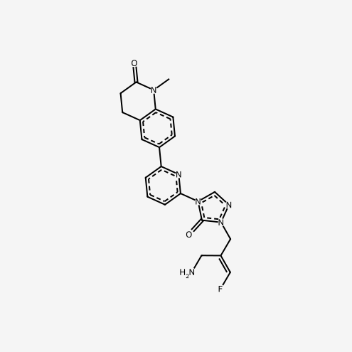 CN1C(=O)CCc2cc(-c3cccc(-n4cnn(C/C(=C/F)CN)c4=O)n3)ccc21